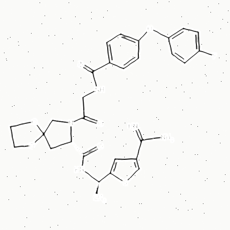 C[C@@H](NC(=O)[C@@H]1CC2(CN1C(=O)CNC(=O)c1ccc(Oc3ccc(F)cc3)cc1)OCCO2)c1cc(C(=N)N)cs1